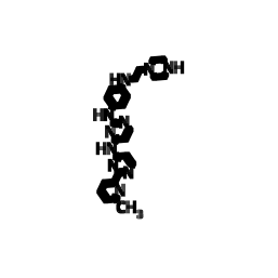 Cc1cccc(-c2nccc(Nc3ccnc(Nc4ccc(NCCN5CCNCC5)cc4)n3)n2)n1